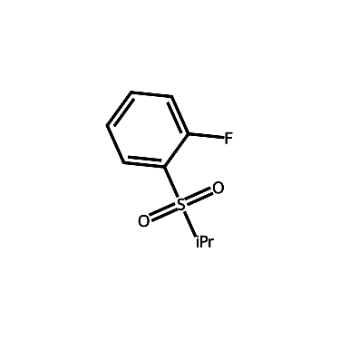 CC(C)S(=O)(=O)c1ccccc1F